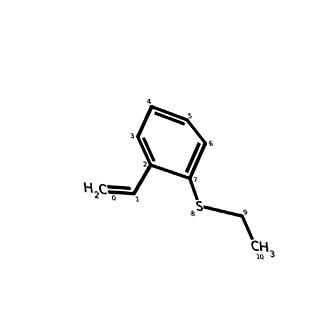 C=Cc1ccccc1SCC